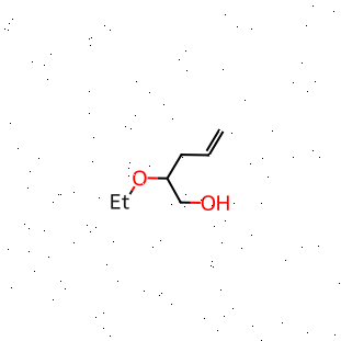 C=CCC(CO)OCC